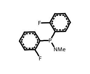 CNP(c1ccccc1F)c1ccccc1F